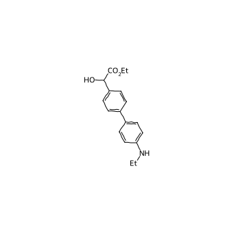 CCNc1ccc(-c2ccc(C(O)C(=O)OCC)cc2)cc1